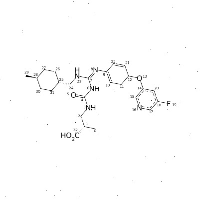 C[C@@H](CNC(=O)N/C(=N\C1=CCC(Oc2cncc(F)c2)C=C1)NC[C@H]1CC[C@H](C)CC1)C(=O)O